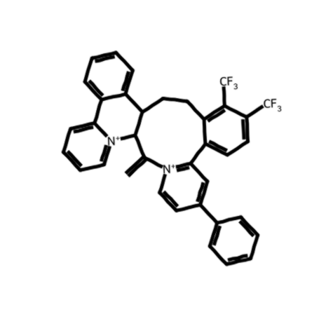 C=C1C2C(CCc3c(ccc(C(F)(F)F)c3C(F)(F)F)-c3cc(-c4ccccc4)cc[n+]31)c1ccccc1-c1cccc[n+]12